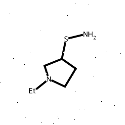 CCN1CCC(SN)C1